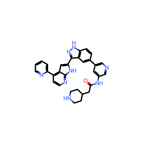 O=C(CC1CCNCC1)Nc1cncc(-c2ccc3[nH]nc(-c4cc5c(-c6ccccn6)ccnc5[nH]4)c3c2)c1